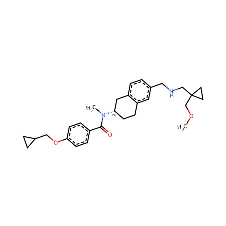 COCC1(CNCc2ccc3c(c2)CC[C@H](N(C)C(=O)c2ccc(OCC4CC4)cc2)C3)CC1